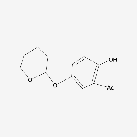 CC(=O)c1cc(OC2CCCCO2)ccc1O